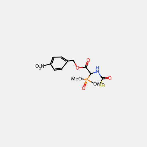 COP(=O)(OC)C(NC(=O)S)C(=O)OCc1ccc([N+](=O)[O-])cc1